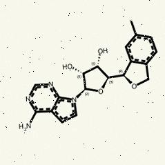 Cc1ccc2c(c1)[C@H]([C@H]1O[C@@H](n3ccc4c(N)ncnc43)[C@H](O)[C@@H]1O)OC2